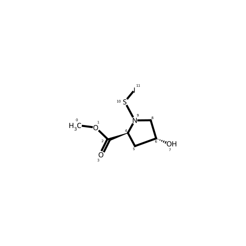 COC(=O)[C@@H]1C[C@@H](O)CN1SI